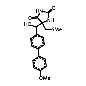 COc1ccc(-c2ccc(C(O)C3(CSC)NC(=O)NC3=O)cc2)cc1